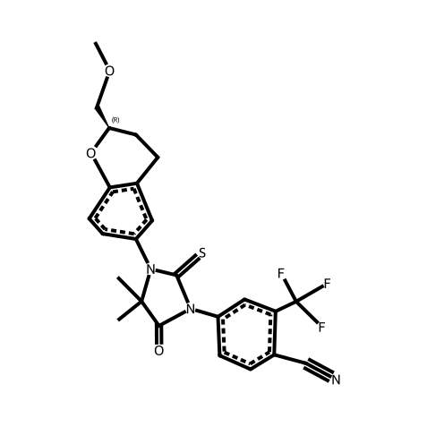 COC[C@H]1CCc2cc(N3C(=S)N(c4ccc(C#N)c(C(F)(F)F)c4)C(=O)C3(C)C)ccc2O1